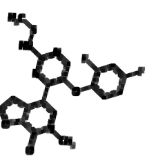 CSNc1ncc(Oc2ccc(F)cc2F)c(-c2cn(C)c(=O)c3occc23)n1